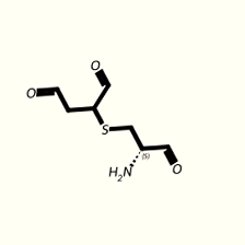 N[C@@H](C=O)CSC(C=O)CC=O